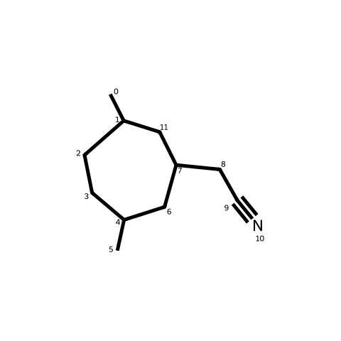 CC1CCC(C)CC(CC#N)C1